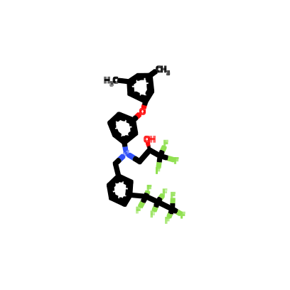 Cc1cc(C)cc(Oc2cccc(N(Cc3cccc(C(F)(F)C(F)(F)C(F)(F)F)c3)C[C@@H](O)C(F)(F)F)c2)c1